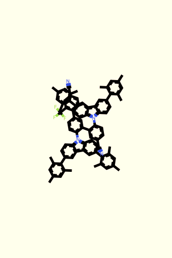 Cc1cc(C)c(-c2ccc3c(c2)c2cc(-c4c(C)cc(C)cc4C)ccc2n3-c2ccc(C#N)cc2-c2cc(-c3ccc(C#N)cc3C(F)(F)F)ccc2-n2c3ccc(-c4c(C)cc(C)cc4C)cc3c3cc(-c4c(C)cc(C)cc4C)ccc32)c(C)c1